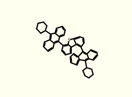 c1cc(-c2c3ccccc3c(C3CCCCC3)c3ccccc23)c2c(c1)sc1c(-c3c4ccccc4c(C4CCCCC4)c4ccccc34)cccc12